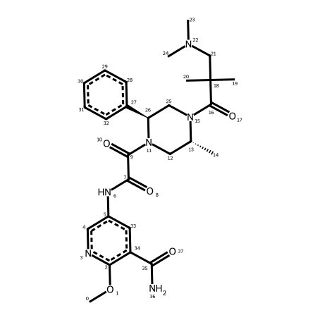 COc1ncc(NC(=O)C(=O)N2C[C@@H](C)N(C(=O)C(C)(C)CN(C)C)C[C@@H]2c2ccccc2)cc1C(N)=O